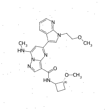 CNc1cc(-c2cn(CCOC)c3ncccc23)nc2c(C(=O)NC3CC[C@H]3OC)cnn12